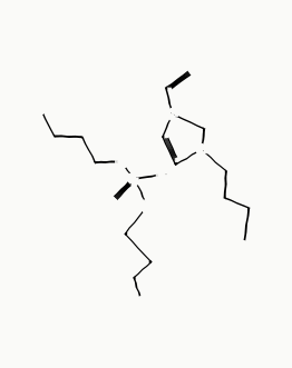 C=CN1C=CN(CCCC)C1.CCCCOP(=O)(O)OCCCC